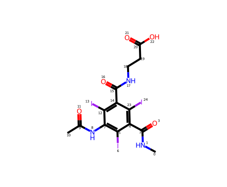 CNC(=O)c1c(I)c(NC(C)=O)c(I)c(C(=O)NCCC(=O)O)c1I